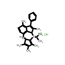 CC1=C(C)C(C)[C]([Zr]([CH]2C(C)=C(c3ccccc3)c3c(C)ccc(C)c32)=[Si](C)C)=C1C.Cl.Cl